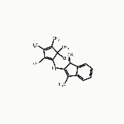 CCCC1=[C]([Hf][C]2=C(C)c3ccccc3C2C)C(C)(C)C(C)=C1C